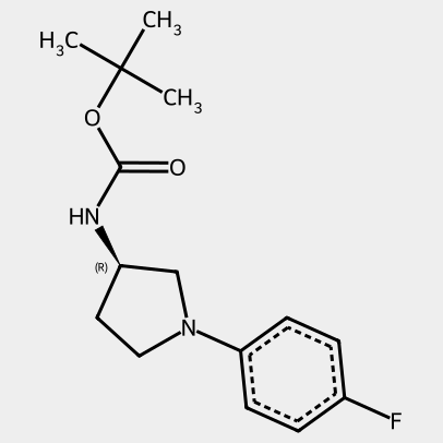 CC(C)(C)OC(=O)N[C@@H]1CCN(c2ccc(F)cc2)C1